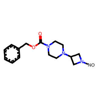 O=NN1CC(N2CCN(C(=O)OCc3ccccc3)CC2)C1